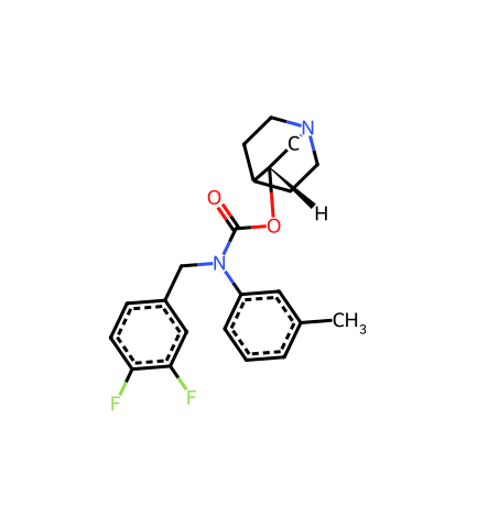 Cc1cccc(N(Cc2ccc(F)c(F)c2)C(=O)O[C@H]2CN3CCC2CC3)c1